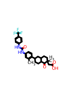 Cc1cc(NC(=O)Nc2ccc(C(F)(F)F)cc2)ccc1C1CCC2C(=O)C(C)(CC(=O)O)CCC2C1